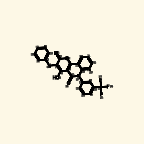 O=c1oc2c(c(O)c1Sc1ccccc1)c(=O)n(-c1cccc(C(F)(F)F)c1)c1ncccc21